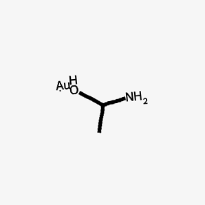 CC(N)O.[Au]